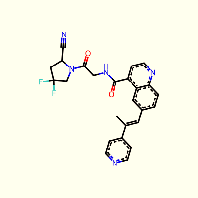 CC(=Cc1ccc2nccc(C(=O)NCC(=O)N3CC(F)(F)CC3C#N)c2c1)c1ccncc1